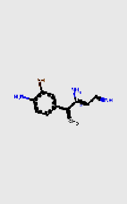 C=C(/C(N)=C/C=N)c1ccc(N)c(S)c1